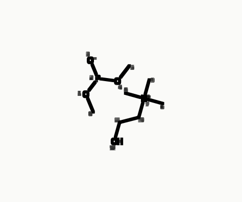 COP([O-])OC.C[N+](C)(C)CCO